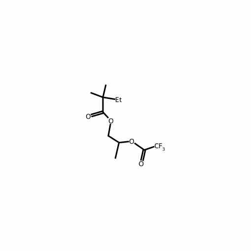 CCC(C)(C)C(=O)OCC(C)OC(=O)C(F)(F)F